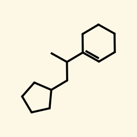 CC(CC1CCCC1)C1=CCCCC1